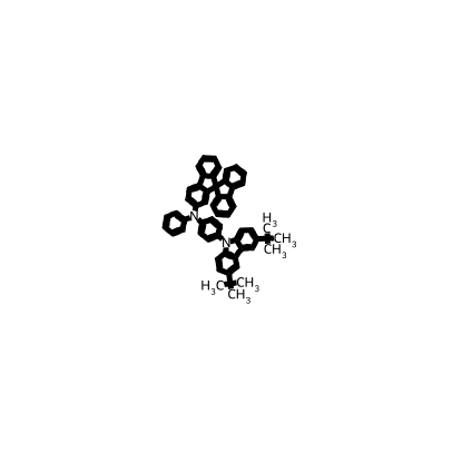 CC(C)(C)c1ccc2c(c1)c1cc(C(C)(C)C)ccc1n2-c1ccc(N(c2ccccc2)c2ccc3c(c2)C2(c4ccccc4-c4ccccc42)c2ccccc2-3)cc1